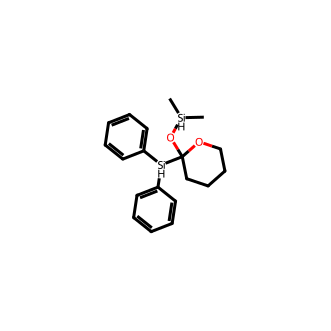 C[SiH](C)OC1([SiH](c2ccccc2)c2ccccc2)CCCCO1